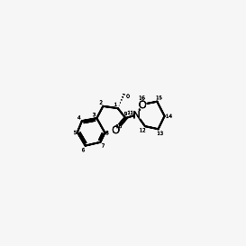 C[C@@H](Cc1ccccc1)C(=O)N1CCCCO1